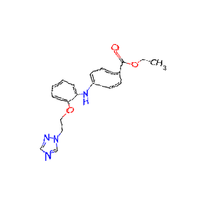 CCOC(=O)c1ccc(Nc2ccccc2OCCn2cncn2)cc1